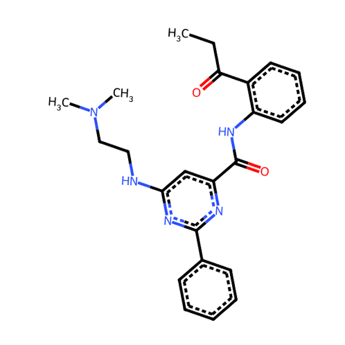 CCC(=O)c1ccccc1NC(=O)c1cc(NCCN(C)C)nc(-c2ccccc2)n1